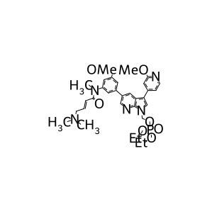 CCOP(=O)(OCC)OCn1cc(-c2ccnc(OC)c2)c2cc(-c3cc(OC)cc(N(C)C(=O)C=CCN(C)C)c3)cnc21